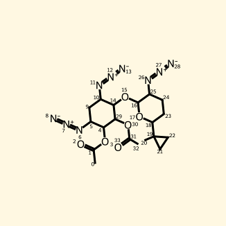 CC(=O)OC1C(N=[N+]=[N-])CC(N=[N+]=[N-])C(OC2OC(C3(C)CC3)CCC2N=[N+]=[N-])C1OC(C)=O